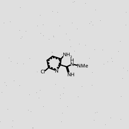 CNNC(=N)c1nc(Cl)ccc1N